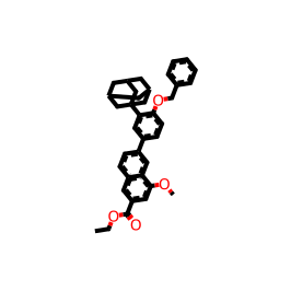 CCOC(=O)c1cc(OC)c2cc(-c3ccc(OCc4ccccc4)c(C45CC6CC(CC(C6)C4)C5)c3)ccc2c1